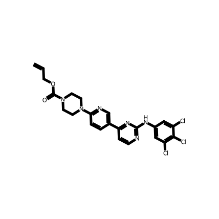 C=CCOC(=O)N1CCN(c2ccc(-c3ccnc(Nc4cc(Cl)c(Cl)c(Cl)c4)n3)cn2)CC1